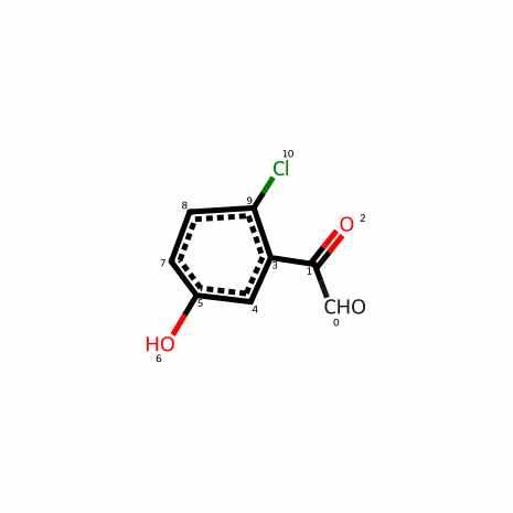 O=CC(=O)c1cc(O)ccc1Cl